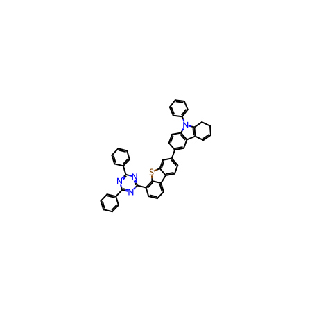 C1=Cc2c(n(-c3ccccc3)c3ccc(-c4ccc5c(c4)sc4c(-c6nc(-c7ccccc7)nc(-c7ccccc7)n6)cccc45)cc23)CC1